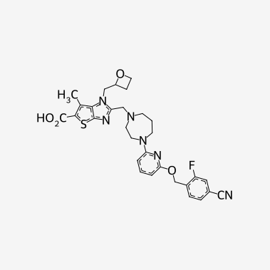 Cc1c(C(=O)O)sc2nc(CN3CCCN(c4cccc(OCc5ccc(C#N)cc5F)n4)CC3)n(CC3CCO3)c12